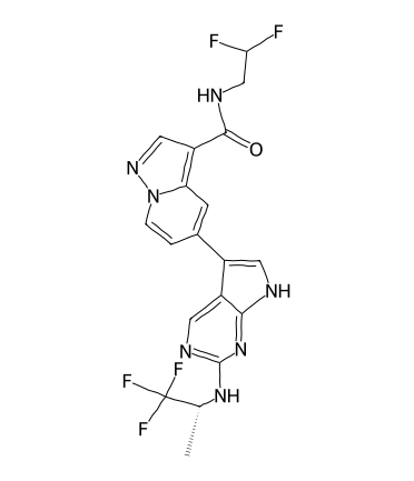 C[C@@H](Nc1ncc2c(-c3ccn4ncc(C(=O)NCC(F)F)c4c3)c[nH]c2n1)C(F)(F)F